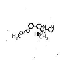 CNc1nc(-c2cccnc2)nc2ccc(-c3cccc(OCCOC)c3)cc12